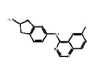 NC1Cc2ccc(Nc3ncnc4ccc(I)cc34)cc2C1